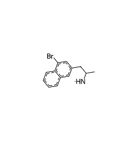 CC([NH])Cc1cc(Br)c2ccccc2c1